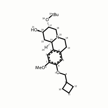 COc1cc2c(cc1OCC1CCC1)CCN1C[C@@H](OC(C)(C)C)[C@H](O)C[C@H]21